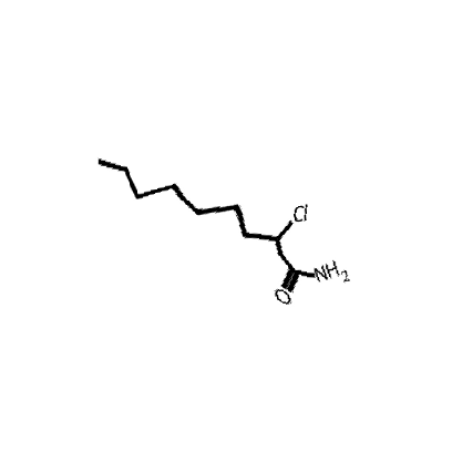 CCCCCCCC(Cl)C(N)=O